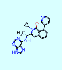 C[C@@H](Nc1ncnc2[nH]cnc12)c1cc2cccc(-c3cccnc3)c2c(=O)n1C1CC1